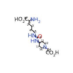 NC(CCCCNC(=O)NC1CCN(CC(=O)O)CC1)C(=O)O